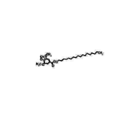 [CH2]CCCCCCCCCCCCCCCCCOOC(=O)c1cc(OC)c(OC)c(OC)c1